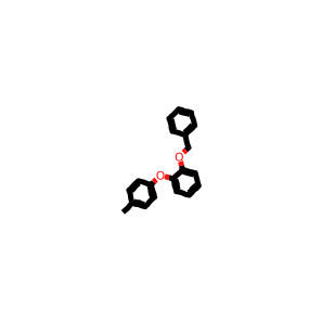 Cc1ccc(Oc2ccccc2OCc2ccccc2)cc1